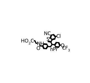 CCC[C@H](c1ccc(C(=O)NCCC(=O)O)cc1)C(c1ccc(OC(F)(F)F)cc1)c1csc2c(C#N)cc(Cl)cc12